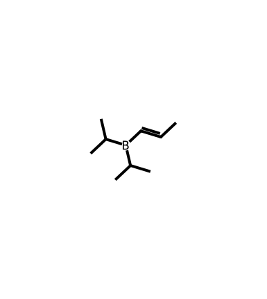 CC=CB(C(C)C)C(C)C